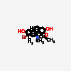 CCOC1C[C@@]2(C)C(CC[C@@H]3[C@H]2C(N(C)C)C[C@]2(C)C(Br)C(O)C[C@@H]32)CC1O